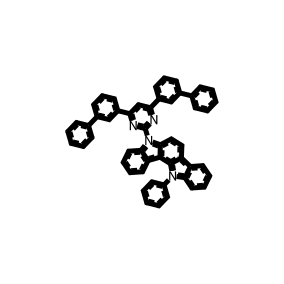 c1ccc(-c2cccc(-c3cc(-c4cccc(-c5ccccc5)c4)nc(-n4c5ccccc5c5c4ccc4c6ccccc6n(-c6ccccc6)c45)n3)c2)cc1